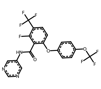 O=C(Nc1cncnc1)c1c(Oc2ccc(OC(F)(F)F)cc2)ccc(C(F)(F)F)c1F